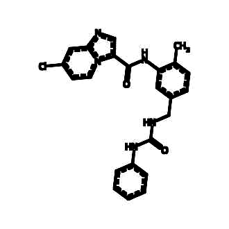 Cc1ccc(CNC(=O)Nc2ccccc2)cc1NC(=O)c1cnc2cc(Cl)ccn12